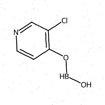 OBOc1ccncc1Cl